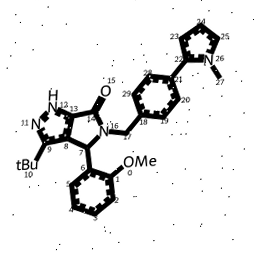 COc1ccccc1C1c2c(C(C)(C)C)n[nH]c2C(=O)N1Cc1ccc(-c2cccn2C)cc1